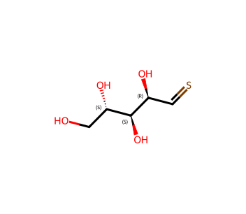 OC[C@H](O)[C@H](O)[C@@H](O)C=S